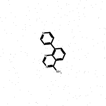 Nc1ncnc2c(-c3ccncc3)cccc12